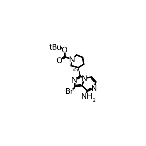 CC(C)(C)OC(=O)N1CCC[C@@H](c2nc(Br)c3c(N)nccn23)C1